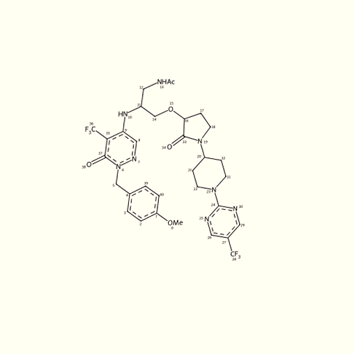 COc1ccc(Cn2ncc(NC(CNC(C)=O)COC3CCN(C4CCN(c5ncc(C(F)(F)F)cn5)CC4)C3=O)c(C(F)(F)F)c2=O)cc1